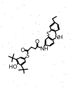 CCc1ccc2c(c1)Sc1cc(NC(=O)CCC(=O)Sc3cc(C(C)(C)C)c(O)c(C(C)(C)C)c3)ccc1N2